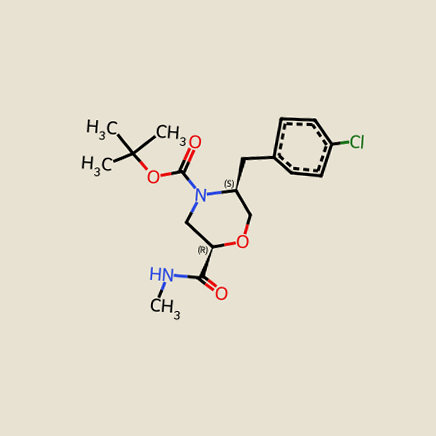 CNC(=O)[C@H]1CN(C(=O)OC(C)(C)C)[C@@H](Cc2ccc(Cl)cc2)CO1